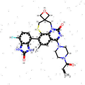 C=CC(=O)N1CCN(c2nc(=O)n3c4c(c(-c5ccc(F)c6[nH]c(=O)[nH]c56)c(C(F)(F)F)cc24)SCC2(COC2)C3)CC1